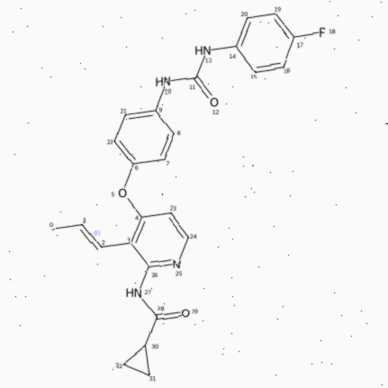 C/C=C/c1c(Oc2ccc(NC(=O)Nc3ccc(F)cc3)cc2)ccnc1NC(=O)C1CC1